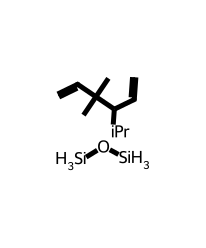 C=CC(C(C)C)C(C)(C)C=C.[SiH3]O[SiH3]